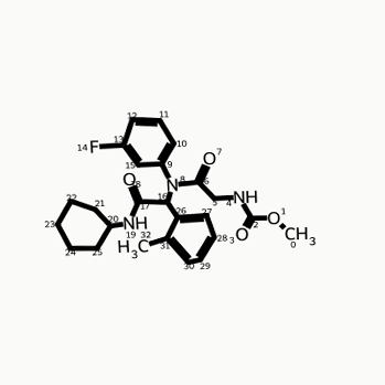 COC(=O)NCC(=O)N(c1cccc(F)c1)C(C(=O)NC1CCCCC1)c1ccccc1C